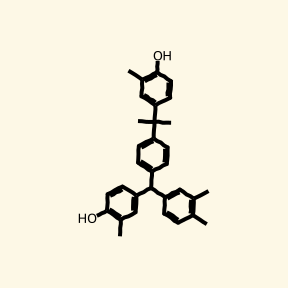 Cc1ccc(C(c2ccc(C(C)(C)c3ccc(O)c(C)c3)cc2)c2ccc(O)c(C)c2)cc1C